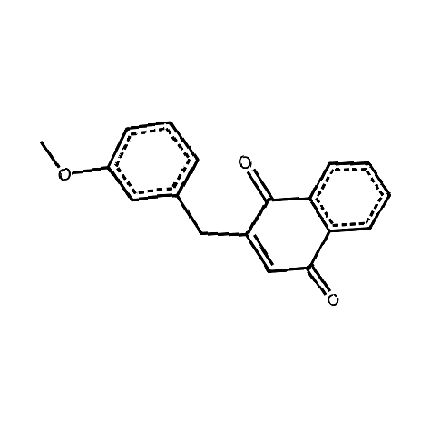 COc1cccc(CC2=CC(=O)c3ccccc3C2=O)c1